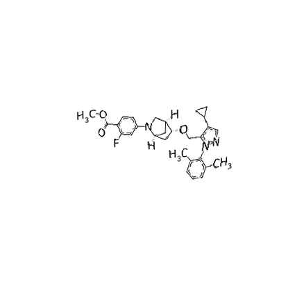 COC(=O)c1ccc(N2C[C@@H]3C[C@H]2C[C@H]3OCc2c(C3CC3)cnn2-c2c(C)cccc2C)cc1F